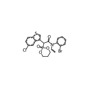 C=CN(C(=O)C(c1csc2ccc(Cl)cc12)P1(=O)OCCCO1)c1ccccc1Br